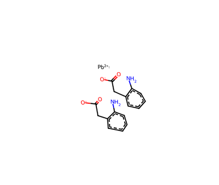 Nc1ccccc1CC(=O)[O-].Nc1ccccc1CC(=O)[O-].[Pb+2]